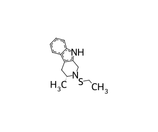 CCSN1Cc2[nH]c3ccccc3c2C[C@H]1C